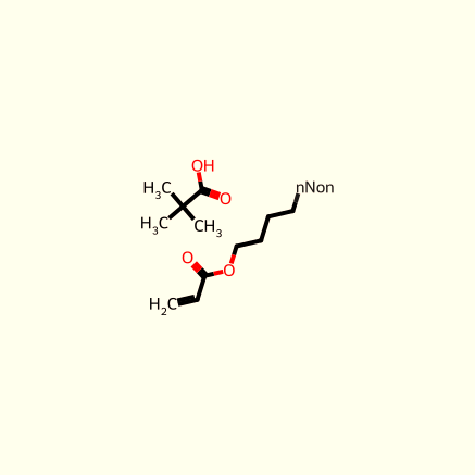 C=CC(=O)OCCCCCCCCCCCCC.CC(C)(C)C(=O)O